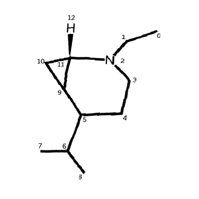 CCN1CCC(C(C)C)C2C[C@@H]21